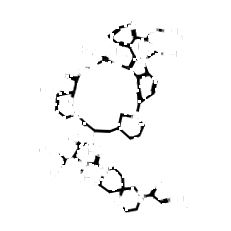 C=CC(=O)N1CCOC2(CCN(C(=O)N(C)[C@H](C(=O)N[C@H]3CC4CCC=[N+](C4)c4ccc5c(c4)c(c(-c4cccnc4[C@H](C)OC)n5CC)CC(C)(C)COC(=O)[C@@]4([SiH3])CCCN(N4)C3=O)C(C)C)CC2)C1